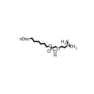 CCCCCCCCCCCCCCCCOP(=O)(O)COCCN(C)C